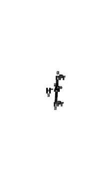 CC[CH2][Al+][CH2]CC.[H-]